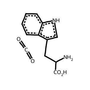 NC(Cc1c[nH]c2ccccc12)C(=O)O.O=C=O